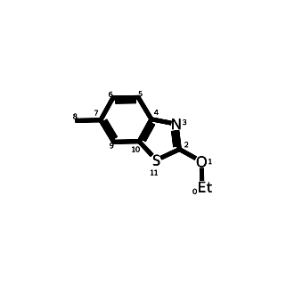 [CH2]COc1nc2ccc(C)cc2s1